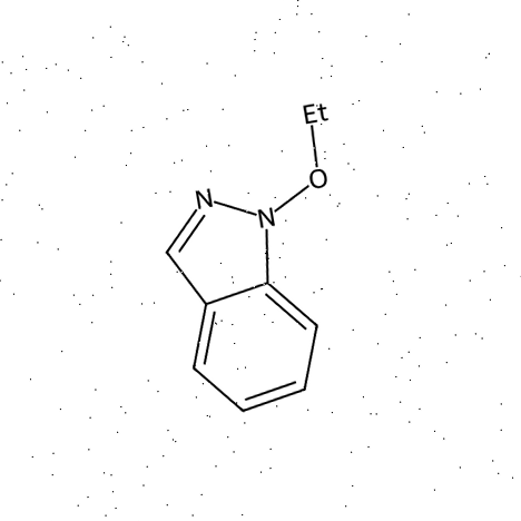 CCOn1ncc2ccccc21